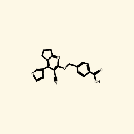 N#Cc1c(OCc2ccc(C(=O)O)cc2)nc2c(c1-c1ccoc1)CCC2